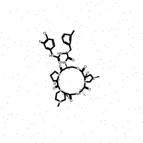 Cc1cccc(C[C@H](NC(=O)Nc2ccc(Cl)c(F)c2)C(=O)N[C@H]2COC(=O)[C@@H]3C[C@@H](C)CN3C(=O)[C@H](C)NC(=O)[C@@H]3CN(C)CCN3C(=O)[C@@H]3CCCN3C2=O)c1